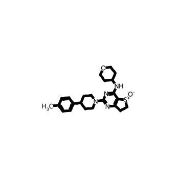 Cc1ccc(C2CCN(c3nc4c(c(NC5CCOCC5)n3)[S+]([O-])CC4)CC2)cc1